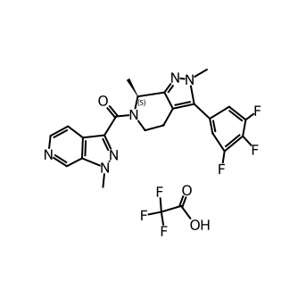 C[C@H]1c2nn(C)c(-c3cc(F)c(F)c(F)c3)c2CCN1C(=O)c1nn(C)c2cnccc12.O=C(O)C(F)(F)F